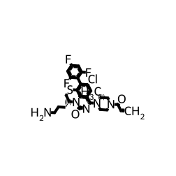 C=CC(=O)N1CCN(c2nc(=O)n3c4c(c(-c5c(F)cc(F)cc5F)c(Cl)cc24)SC[C@H]3CCCN)[C@@H](C)C1